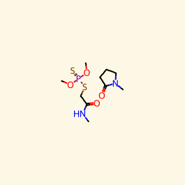 CN1CCCC1=O.CNC(=O)CSP(=S)(OC)OC